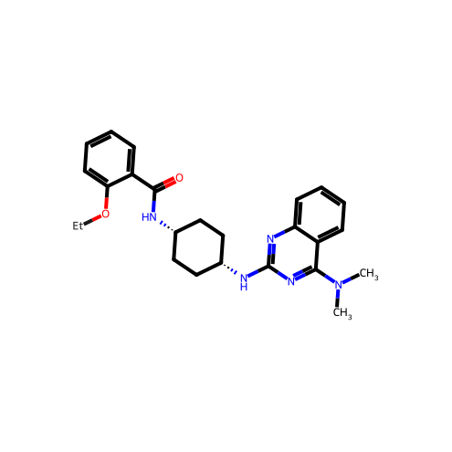 CCOc1ccccc1C(=O)N[C@H]1CC[C@@H](Nc2nc(N(C)C)c3ccccc3n2)CC1